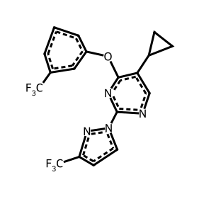 FC(F)(F)c1cccc(Oc2nc(-n3ccc(C(F)(F)F)n3)ncc2C2CC2)c1